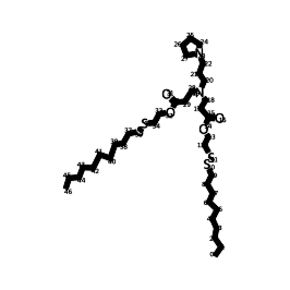 CCCCCCCCCCSSCCOC(=O)CCN(CCCN1CCCC1)CCC(=O)OCCSSCCCCCCCCCC